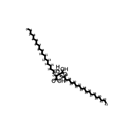 CCCCCCCCCCCCCCCCCCSC(C(=O)O)C(O)(SCCCCCCCCCCCCCCCCCC)C(=O)O